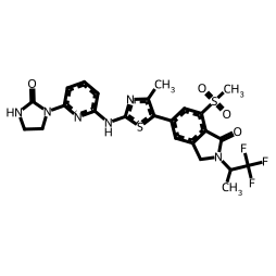 Cc1nc(Nc2cccc(N3CCNC3=O)n2)sc1-c1cc2c(c(S(C)(=O)=O)c1)C(=O)N(C(C)C(F)(F)F)C2